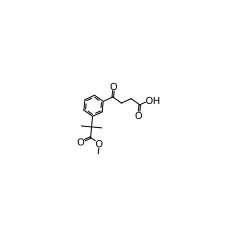 COC(=O)C(C)(C)c1cccc(C(=O)CCC(=O)O)c1